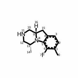 Cc1ccc2c(c1F)N1[C@H](CNC[C@H]1C)C2